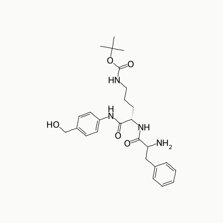 CC(C)(C)OC(=O)NCCC[C@H](NC(=O)C(N)Cc1ccccc1)C(=O)Nc1ccc(CO)cc1